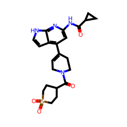 O=C(Nc1cc(C2=CCN(C(=O)C3CCS(=O)(=O)CC3)CC2)c2cc[nH]c2n1)C1CC1